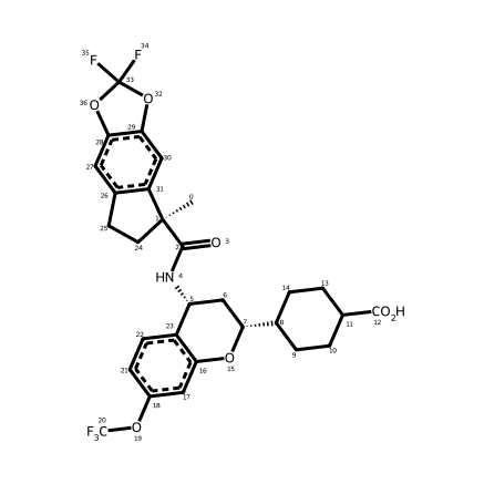 C[C@]1(C(=O)N[C@@H]2C[C@H](C3CCC(C(=O)O)CC3)Oc3cc(OC(F)(F)F)ccc32)CCc2cc3c(cc21)OC(F)(F)O3